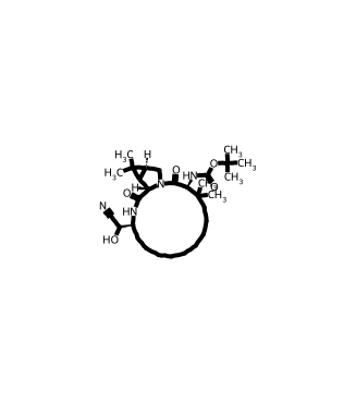 CC(C)(C)OC(=O)N[C@@H]1C(=O)N2C[C@H]3C([C@H]2C(=O)N[C@H](C(O)C#N)CCCCCCCCCC1(C)C)C3(C)C